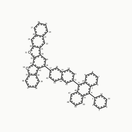 c1ccc(-c2c3ccccc3c(-c3ccc4cc(-c5cc6c7cc8ccccc8cc7oc6c6oc7ccccc7c56)ccc4c3)c3ccccc23)cc1